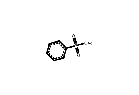 CC(=O)OS(=O)(=O)c1ccccc1